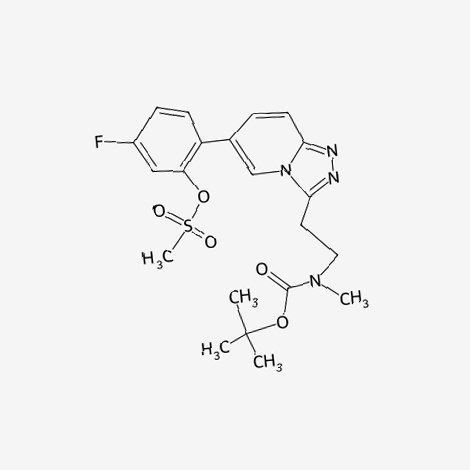 CN(CCc1nnc2ccc(-c3ccc(F)cc3OS(C)(=O)=O)cn12)C(=O)OC(C)(C)C